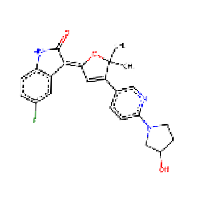 CC1(C)OC(=C2C(=O)Nc3ccc(F)cc32)C=C1c1ccc(N2CCC(O)C2)nc1